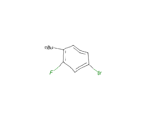 CCC[CH]c1ccc(Br)cc1F